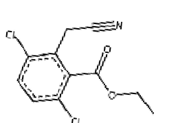 CCOC(=O)c1c(Cl)ccc(Cl)c1CC#N